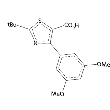 COc1cc(OC)cc(-c2nc(C(C)(C)C)sc2C(=O)O)c1